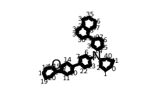 c1ccc(N(c2ccc(-c3ccc4c(c3)oc3ccccc34)cc2)c2cccc(-c3cccc4ccccc34)c2)cc1